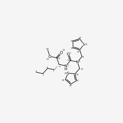 CCCC[C@@H](NC(=O)N(Cc1cccs1)Cc1cccs1)C(=O)OC